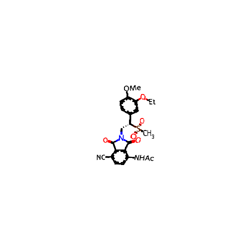 CCOc1cc([C@@H](CN2C(=O)c3c(C#N)ccc(NC(C)=O)c3C2=O)S(C)(=O)=O)ccc1OC